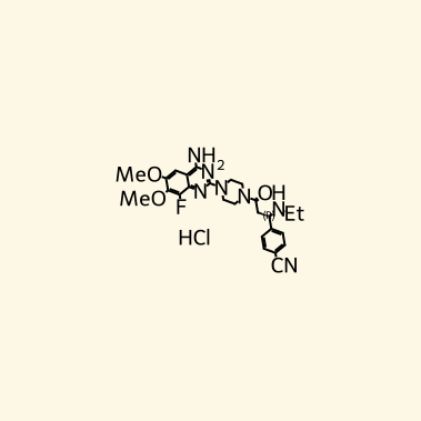 CCN[C@H](CC(=O)N1CCN(c2nc(N)c3cc(OC)c(OC)c(F)c3n2)CC1)c1ccc(C#N)cc1.Cl